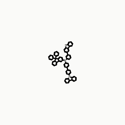 c1ccc(C2(c3ccccc3)c3ccccc3-c3cc(N(c4ccc(-c5ccc(-n6c7ccccc7c7ccccc76)cc5)cc4)c4cccc(-c5ccc6sc7ccccc7c6c5)c4)ccc32)cc1